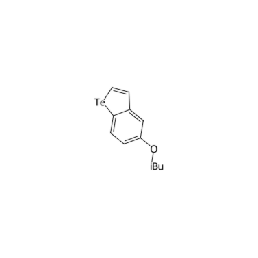 CCC(C)Oc1ccc2[te]ccc2c1